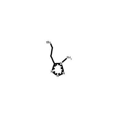 CC(C)(C)CCc1nnnn1P